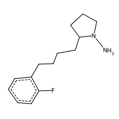 NN1CCCC1CCCCc1ccccc1F